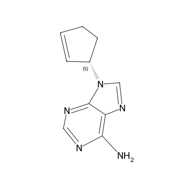 Nc1ncnc2c1ncn2[C@@H]1C=CCC1